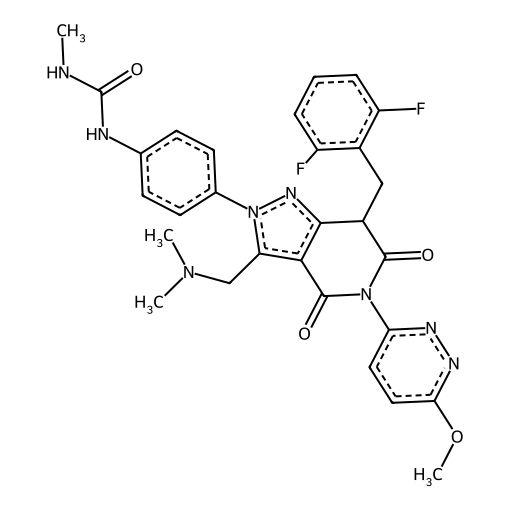 CNC(=O)Nc1ccc(-n2nc3c(c2CN(C)C)C(=O)N(c2ccc(OC)nn2)C(=O)C3Cc2c(F)cccc2F)cc1